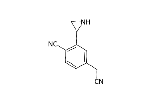 N#CCc1ccc(C#N)c(C2CN2)c1